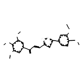 COc1ccc(-c2cc(C=CC(=O)c3cc(OC)c(OC)c(OC)c3)[nH]n2)cc1OC